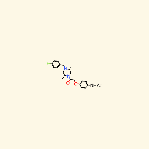 CC(=O)Nc1ccc(OCC(=O)N2C[C@@H](C)N(Cc3ccc(F)cc3)C[C@@H]2C)cc1